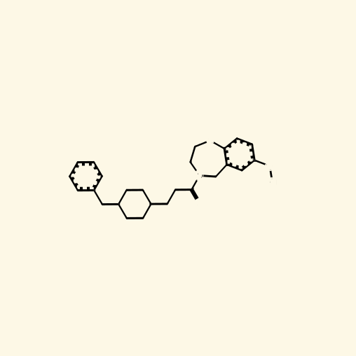 COc1ccc2c(c1)CN(C(=O)CCC1CCC(Cc3ccccc3)CC1)CCS2